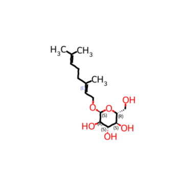 CC(C)=CCC/C(C)=C/CO[C@H]1O[C@H](CO)[C@@H](O)[C@H](O)[C@H]1O